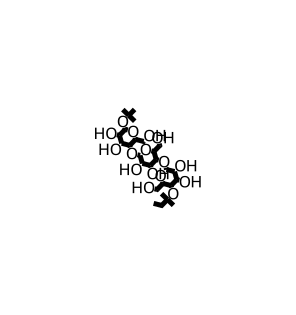 CCC(C)(C)OC1C(CO)OC(OC2C(CO)OC(OC3C(CO)OC(OC(C)(C)C)C(O)C3O)C(O)C2O)C(O)C1O